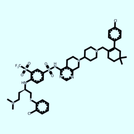 CN(C)CC[C@H](CSc1ccccc1Cl)Nc1ccc(S(=O)(=O)Nc2ncnc3c2CCN(C2CCN(CC4=C(c5ccc(Cl)cc5)CC(C)(C)CC4)CC2)C3)cc1S(=O)(=O)C(F)(F)F